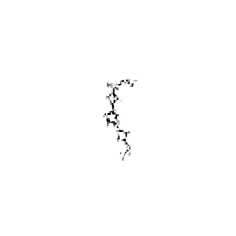 O=C(O)NC12CC(c3cn(C4CC(OC(F)(F)F)C4)cn3)(C1)C2